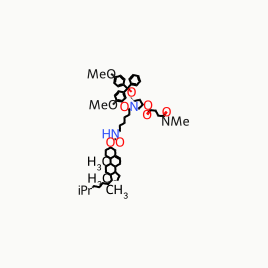 CNC(=O)CCC(=O)O[C@@H]1C[C@@H](COC(c2ccccc2)(c2ccc(OC)cc2)c2ccc(OC)cc2)N(C(=O)CCCCCNC(=O)O[C@H]2CC[C@@]3(C)C(=CCC4C3CC[C@@]3(C)C4CC[C@@H]3[C@H](C)CCCC(C)C)C2)C1